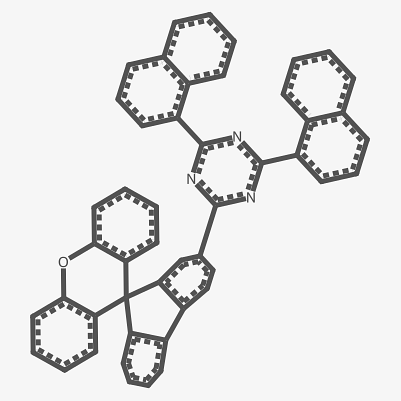 c1ccc2c(c1)Oc1ccccc1C21c2ccccc2-c2ccc(-c3nc(-c4cccc5ccccc45)nc(-c4cccc5ccccc45)n3)cc21